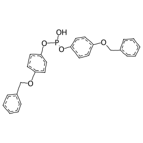 OP(Oc1ccc(OCc2ccccc2)cc1)Oc1ccc(OCc2ccccc2)cc1